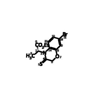 CCOC(=O)[C@@H](C)N1C(=S)COc2cc(Br)ccc21